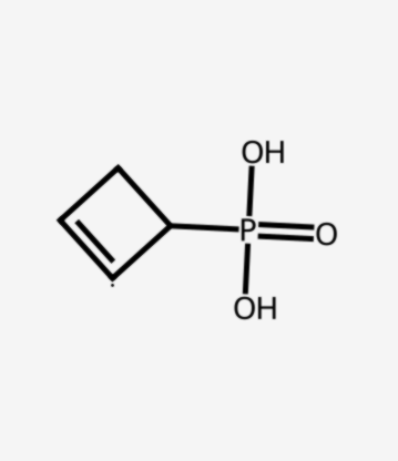 O=P(O)(O)C1[C]=CC1